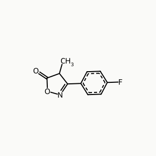 CC1C(=O)ON=C1c1ccc(F)cc1